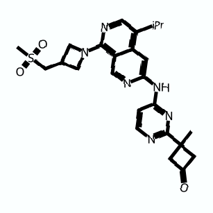 CC(C)c1cnc(N2CC(CS(C)(=O)=O)C2)c2cnc(Nc3ccnc(C4(C)CC(=O)C4)n3)cc12